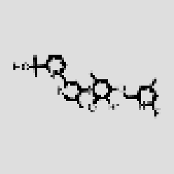 Cc1cc(F)nc(COc2cc(C)n(-c3cc(-c4cccc(C(C)(C)O)n4)ncc3C)c(=O)c2Br)c1